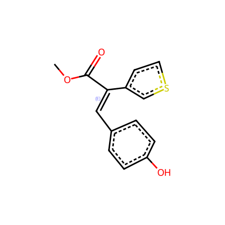 COC(=O)/C(=C/c1ccc(O)cc1)c1ccsc1